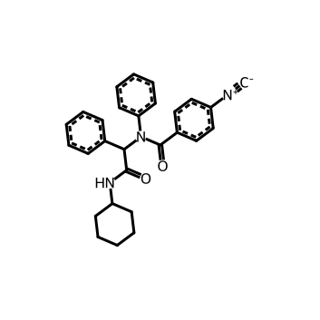 [C-]#[N+]c1ccc(C(=O)N(c2ccccc2)C(C(=O)NC2CCCCC2)c2ccccc2)cc1